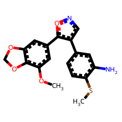 COc1cc(-c2oncc2-c2ccc(SC)c(N)c2)cc2c1OCO2